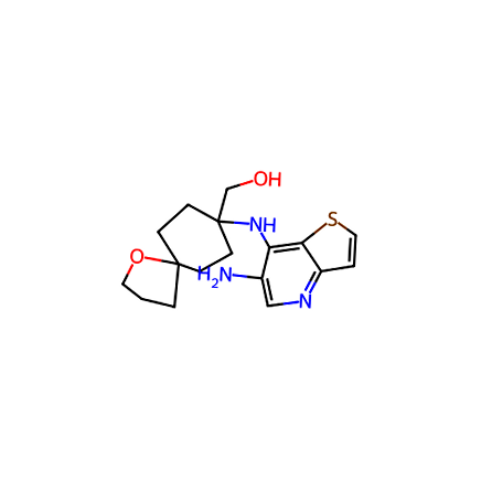 Nc1cnc2ccsc2c1NC1(CO)CCC2(CCCO2)CC1